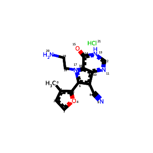 Cc1ccoc1-c1c(C#N)c2nc[nH]c(=O)c2n1CCN.Cl